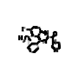 CNc1c(Cl)ccc2nc(C(=O)n3ccnc3)nc(-c3ccccc3)c12